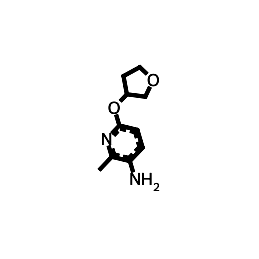 Cc1nc(OC2CCOC2)ccc1N